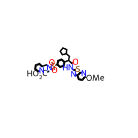 COc1ccc2nc(NC(=O)C(CC3CCCC3)c3ccc(S(=O)(=O)N(CC(=O)O)Cc4ccccn4)cc3)sc2n1